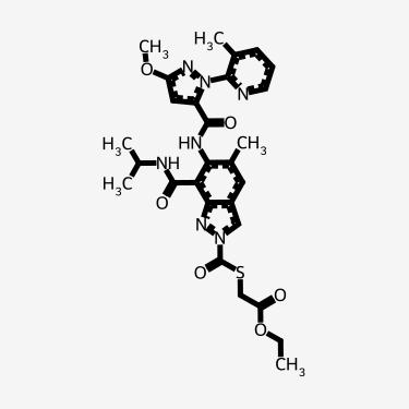 CCOC(=O)CSC(=O)n1cc2cc(C)c(NC(=O)c3cc(OC)nn3-c3ncccc3C)c(C(=O)NC(C)C)c2n1